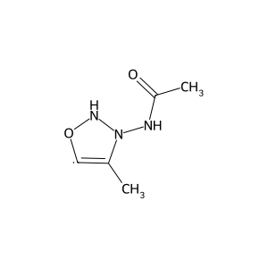 CC(=O)NN1NO[C]=C1C